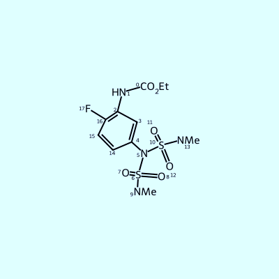 CCOC(=O)Nc1cc(N(S(=O)(=O)NC)S(=O)(=O)NC)ccc1F